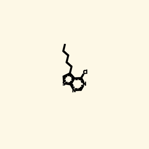 CCCCCc1csc2ncnc(Cl)c12